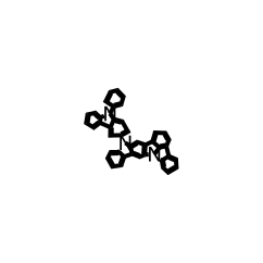 c1ccc(-n2c3ccccc3c3cc(-n4c5ccccc5c5cc6c(cc54)c4cccc5c7ccccc7n6c54)ccc32)cc1